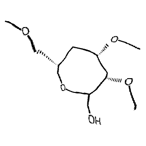 COC[C@@H]1C[C@H](OC)[C@H](OC)C(O)O1